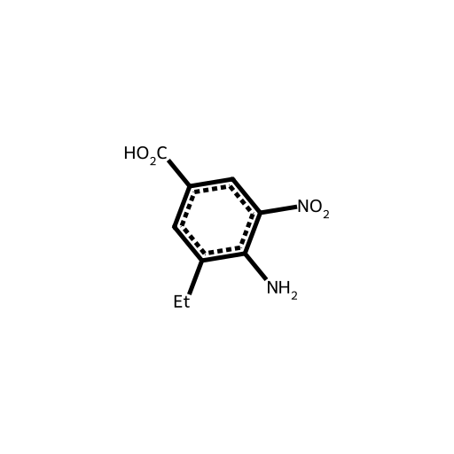 CCc1cc(C(=O)O)cc([N+](=O)[O-])c1N